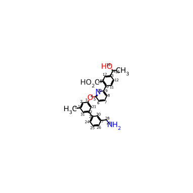 Cc1cc(Oc2cccc(-c3ccc(C(C)O)cc3C(=O)O)n2)cc(-c2cccc(CN)c2)c1